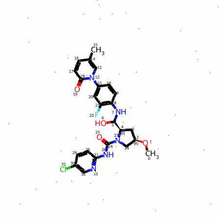 CO[C@@H]1C[C@H](C(O)Nc2ccc(-n3cc(C)ccc3=O)cc2F)N(C(=O)Nc2ccc(Cl)cn2)C1